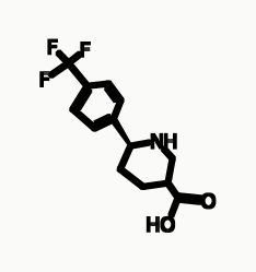 O=C(O)C1CC[C@@H](c2ccc(C(F)(F)F)cc2)NC1